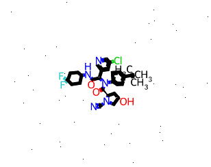 CC(C)(C)c1ccc(N(C(=O)[C@H]2C[C@@H](O)CN2C#N)C(C(=O)NC2CCC(F)(F)CC2)c2cncc(Cl)c2)cc1